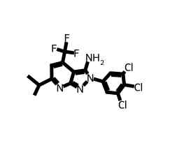 CC(C)c1cc(C(F)(F)F)c2c(N)n(-c3cc(Cl)c(Cl)c(Cl)c3)nc2n1